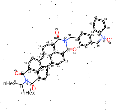 CCCCCCC(CCCCCC)N1C(=O)c2ccc3c4ccc5c6c(ccc(c7ccc(c2c37)C1=O)c64)C(=O)N(Cc1ccc(/C=[N+](/[O-])c2ccccc2)cc1)C5=O